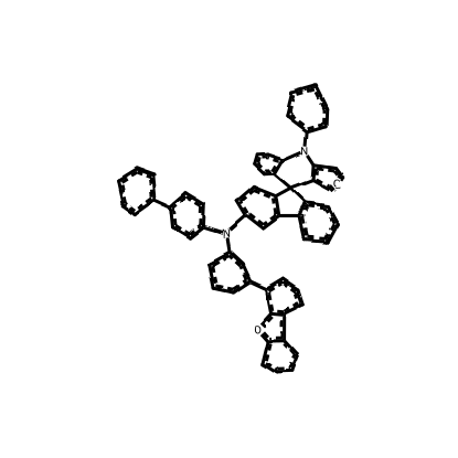 c1ccc(-c2ccc(N(c3cccc(-c4cccc5c4oc4ccccc45)c3)c3ccc4c(c3)-c3ccccc3C43c4ccccc4N(c4ccccc4)c4ccccc43)cc2)cc1